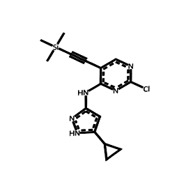 C[Si](C)(C)C#Cc1cnc(Cl)nc1Nc1cc(C2CC2)[nH]n1